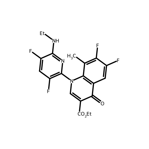 CCNc1nc(-n2cc(C(=O)OCC)c(=O)c3cc(F)c(F)c(C)c32)c(F)cc1F